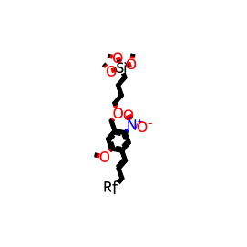 COc1cc(COCCCC[Si](OC)(OC)OC)c([N+](=O)[O-])cc1/C=C/[CH2][Rf]